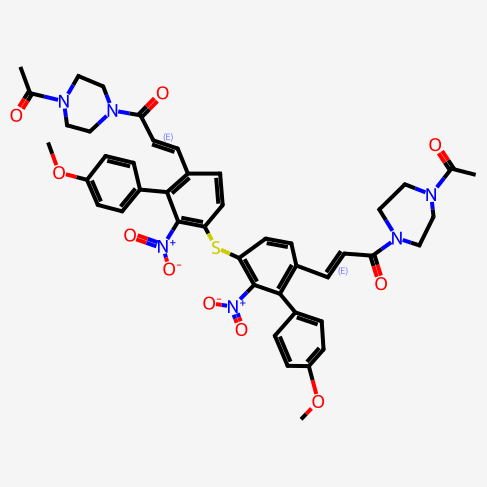 COc1ccc(-c2c(/C=C/C(=O)N3CCN(C(C)=O)CC3)ccc(Sc3ccc(/C=C/C(=O)N4CCN(C(C)=O)CC4)c(-c4ccc(OC)cc4)c3[N+](=O)[O-])c2[N+](=O)[O-])cc1